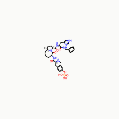 CN(C)[C@@H](Cc1ccc(OP(=O)(O)O)cc1)C(=O)NC1CCCC[C@H]2CC[C@@H](C(=O)N[C@@H](Cc3c[nH]cn3)C(=O)NCc3ccccc3)N2C1=O